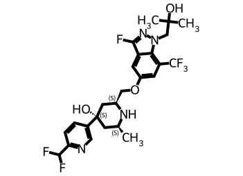 C[C@H]1C[C@@](O)(c2ccc(C(F)F)nc2)C[C@@H](COc2cc(C(F)(F)F)c3c(c2)c(F)nn3CC(C)(C)O)N1